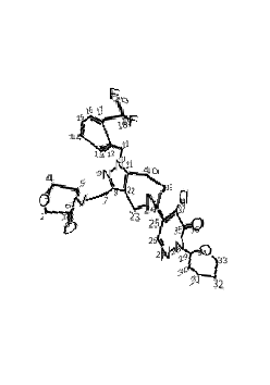 O=C1COCCN1Cc1nn(Cc2ccccc2C(F)F)c2c1CN(c1cnn(C3CCCCO3)c(=O)c1Cl)CC2